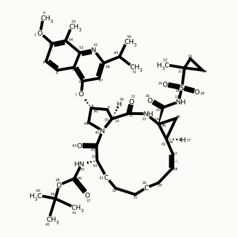 COc1ccc2c(O[C@@H]3C[C@H]4C(=O)N[C@]5(C(=O)NS(=O)(=O)C6(C)CC6)C[C@H]5/C=C\CCCCC[C@H](NC(=O)OC(C)(C)C)C(=O)N4C3)cc(C(C)C)nc2c1C